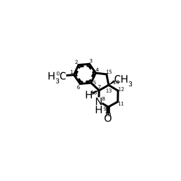 Cc1ccc2c(c1)[C@H]1NC(=O)CC[C@@]1(C)C2